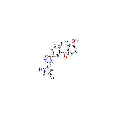 COC1=CCC[C@@H]2C(=O)N3C[C@H](c4nc(-c5cc(C)c[nH]5)no4)CCC3=CC=C12